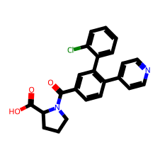 O=C(O)C1CCCN1C(=O)c1ccc(-c2ccncc2)c(-c2ccccc2Cl)c1